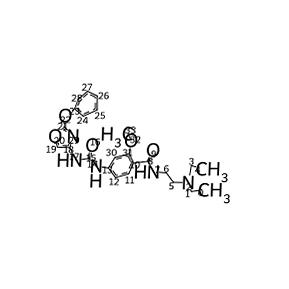 CCN(CC)CCNC(=O)c1ccc(NC(=O)Nc2coc(Oc3ccccc3)n2)cc1OC